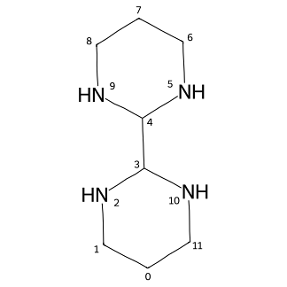 C1CNC(C2NCCCN2)NC1